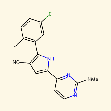 CNc1nccc(-c2cc(C#N)c(-c3cc(Cl)ccc3C)[nH]2)n1